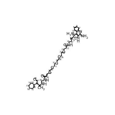 CNc1c(N)nc2ccccc2c1N(C)CCCCNC(=O)CCOCCOCCOCCOCCOCCC(=O)NCNC(C)C(C=O)C1CCCCCC1